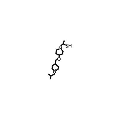 CC(C)CN1CCC(COC2CCN(CC(C)S)CC2)CC1